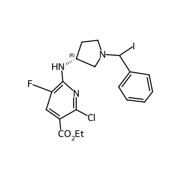 CCOC(=O)c1cc(F)c(N[C@@H]2CCN(C(I)c3ccccc3)C2)nc1Cl